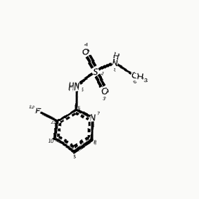 CNS(=O)(=O)Nc1ncccc1F